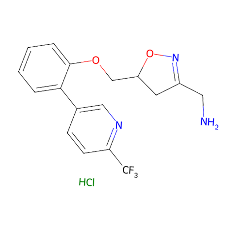 Cl.NCC1=NOC(COc2ccccc2-c2ccc(C(F)(F)F)nc2)C1